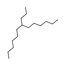 CCCCCC[C](CCC)CCCCCC